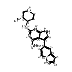 COc1nc(NC2CCOC[C@H]2F)nc2[nH]cc(-c3ccn4nccc4c3)c12